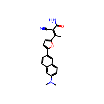 C/C(=C(/C#N)C(N)=O)c1ccc(-c2ccc3cc(N(C)C)ccc3c2)o1